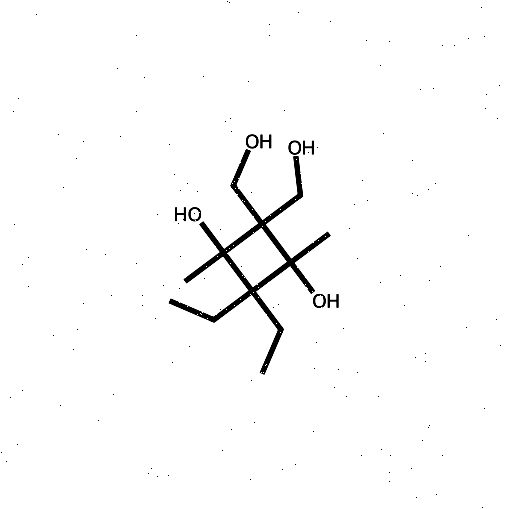 CCC1(CC)C(C)(O)C(CO)(CO)C1(C)O